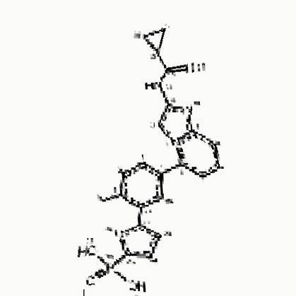 Cc1ccc(-c2cccc3nc(NC(=O)C4CC4)cn23)cc1-c1ccc(P(=O)(O)O)o1